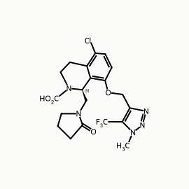 Cn1nnc(COc2ccc(Cl)c3c2[C@@H](CN2CCCC2=O)N(C(=O)O)CC3)c1C(F)(F)F